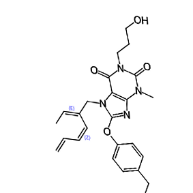 C=C/C=C\C(=C/C)Cn1c(Oc2ccc(CC)cc2)nc2c1c(=O)n(CCCO)c(=O)n2C